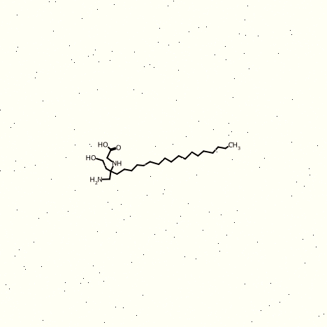 CCCCCCCCCCCCCCCCCCC(CN)(CCO)NCC(=O)O